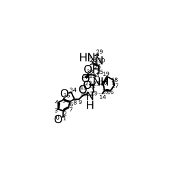 O=Cc1ccc2c(c1)C(CC(=O)N[C@@H](Cc1ccccc1)C(=O)N[C@@H](Cc1c[nH]cn1)C(=O)O)CO2